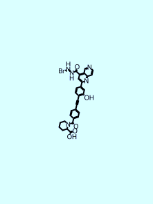 O=C(NNBr)c1cc(-c2ccc(C#Cc3ccc(C(=O)N4CCCCC4C(=O)O)cc3)c(O)c2)nc2ccncc12